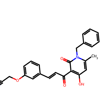 Cc1cc(O)c(C(=O)/C=C/c2cccc(OCC#N)c2)c(=O)n1Cc1ccccc1